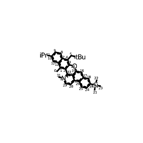 Cc1c2c(c(CC(C)(C)C)c3ccc(C(C)C)cc13)Oc1cc3cc([Si](C)(C)C)ccc3c3cc[n+](C)c-2c13